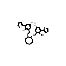 CCc1c(CSC2CCCCCC[C@@H]2SCc2cc(C(C)(C)C)cc(-c3ccco3)c2O)cc(C(C)(C)C)cc1-c1ccco1